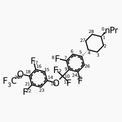 CCC[C@H]1CC[C@H](c2cc(F)c(C(F)(F)Oc3cc(F)c(OC(F)(F)F)c(F)c3)c(F)c2)CC1